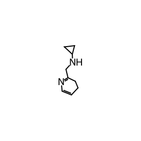 C1=CN=C(CNC2CC2)CC1